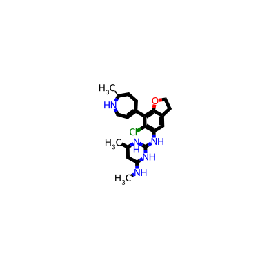 CNC1CC(C)NC(Nc2cc3c(c(C4=CCN[C@H](C)CC4)c2Cl)OCC3)N1